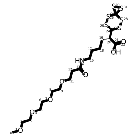 COCCOCCOCCOCCC(=O)NCCCC[C@@H](C(=O)O)C1SSC2(SS1)SS2